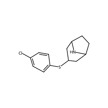 Clc1ccc(SC2CC3CCC(C2)N3)cc1